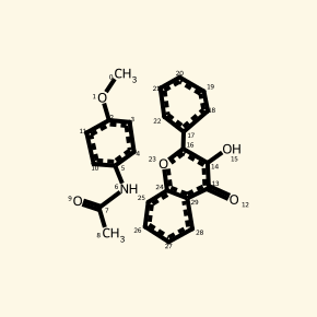 COc1ccc(NC(C)=O)cc1.O=c1c(O)c(-c2ccccc2)oc2ccccc12